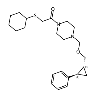 O=C(CSC1CCCCC1)N1CCN(COC[C@@H]2C[C@H]2c2ccccc2)CC1